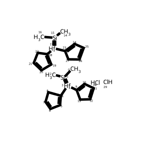 C[Si](C)=[Hf]([C]1=CC=CC1)[C]1=CC=CC1.C[Si](C)=[Hf]([C]1=CC=CC1)[C]1=CC=CC1.Cl.Cl